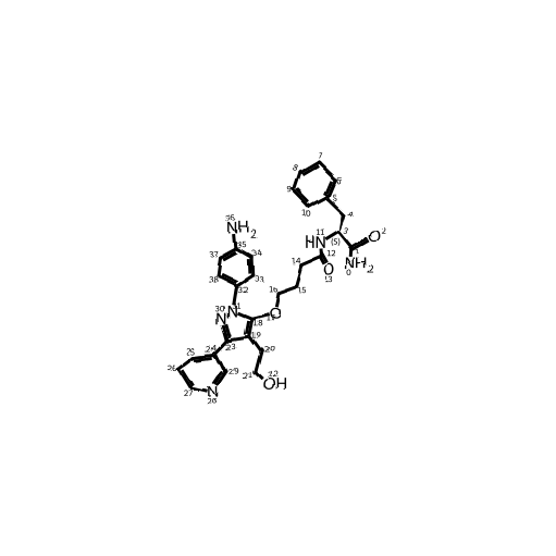 NC(=O)[C@H](Cc1ccccc1)NC(=O)CCCOc1c(CCO)c(-c2cccnc2)nn1-c1ccc(N)cc1